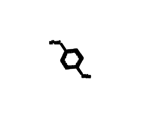 CCCCCc1ccc(SC)cc1